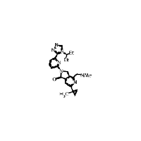 CCC(CC)n1cnnc1-c1cccc(N2Cc3c(cc(C4(C)CC4)nc3CNC)C2=O)n1